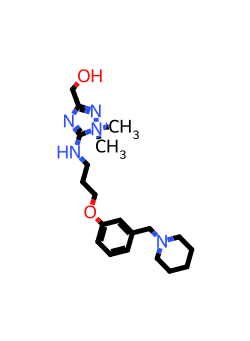 C[N+]1(C)N=C(CO)N=C1NCCCOc1cccc(CN2CCCCC2)c1